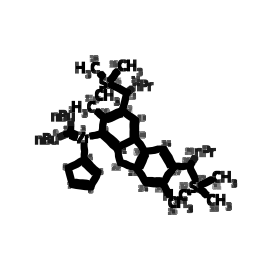 CCCC[C](CCCC)=[Zr]([C]1=CC=CC1)[c]1c(C)c(C(CCC)[Si](C)(C)C)cc2c1Cc1cc(C)c(C(CCC)[Si](C)(C)C)cc1-2